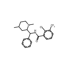 CC1CCN(C)C(C(NC(=O)c2cccc(C(F)(F)F)c2Cl)c2ccccc2)C1